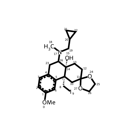 COc1ccc2c(c1)[C@]1(CI)CC3(CC[C@]1(O)C(N(C)CC1CC1)C2)OCCO3